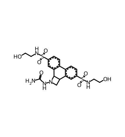 NC(=O)NN1CC2c3cc(S(=O)(=O)NCCO)ccc3-c3ccc(S(=O)(=O)NCCO)cc3C21